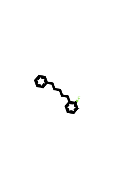 Fc1[c]cccc1CCCCCc1ccccc1